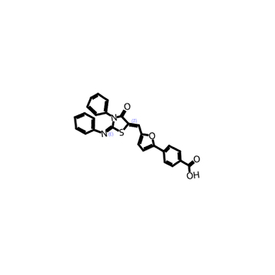 O=C(O)c1ccc(-c2ccc(/C=C3\S/C(=N/c4ccccc4)N(c4ccccc4)C3=O)o2)cc1